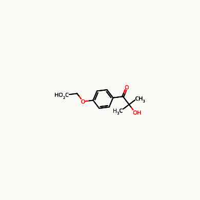 CC(C)(O)C(=O)c1ccc(OCC(=O)O)cc1